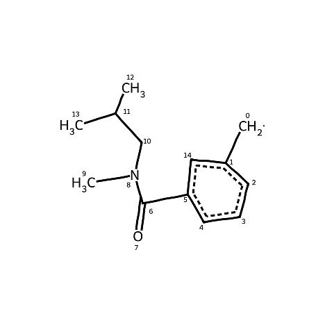 [CH2]c1cccc(C(=O)N(C)CC(C)C)c1